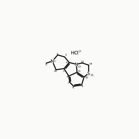 CN1CCc2c(c3cccc4c3n2CCS4)C1.Cl